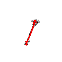 O=C(CCN1C(=O)C=CC1=O)NCCOCCOCCOCCOCCOCCOCCOCCOCCOCCNC(=S)Nc1ccc(O[C@H]2O[C@H](CCP(=O)(O)O)[C@@H](O)[C@H](O)[C@@H]2O)cc1